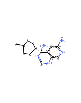 C[C@H]1CC[C@H](C2(N)N=CNc3cnc(N)cc32)CC1